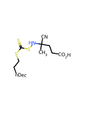 CCCCCCCCCCCCSC(=S)SNC(C)(C#N)CCC(=O)O